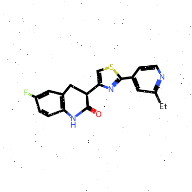 CCc1cc(-c2nc(C3Cc4cc(F)ccc4NC3=O)cs2)ccn1